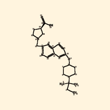 CCC(C)(C)C1CCC(Oc2ccc3nc(CN4CC[C@@H](C(=O)O)C4)ncc3c2)CC1